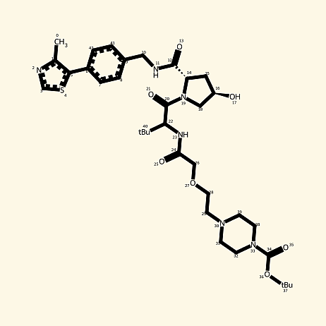 Cc1ncsc1-c1ccc(CNC(=O)[C@@H]2C[C@@H](O)CN2C(=O)C(NC(=O)COCCN2CCN(C(=O)OC(C)(C)C)CC2)C(C)(C)C)cc1